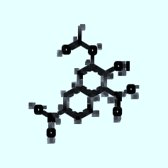 CC(=O)Oc1cc2cc([N+](=O)[O-])ccc2c([N+](=O)[O-])c1O